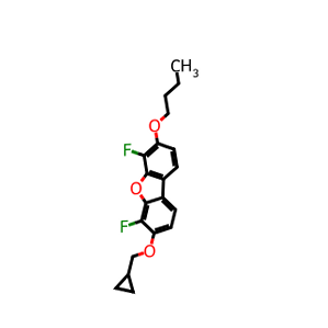 CCCCOc1ccc2c(oc3c(F)c(OCC4CC4)ccc32)c1F